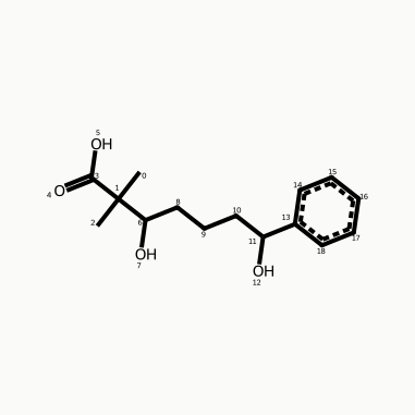 CC(C)(C(=O)O)C(O)CCCC(O)c1ccccc1